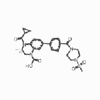 C[C@H]1CN(C(=O)O)c2cc(-c3ccc(C(=O)N4CCN(S(C)(=O)=O)CC4)cc3)ccc2N1C(=O)C1CC1